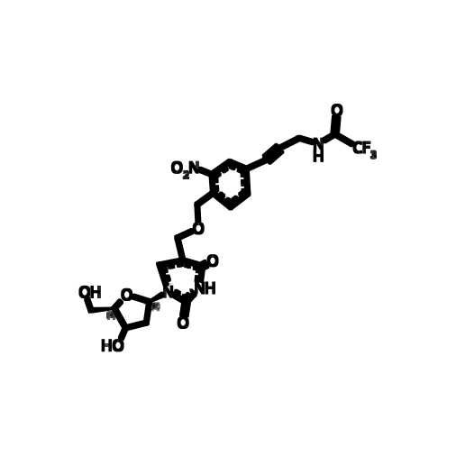 O=C(NCC#Cc1ccc(COCc2cn([C@H]3CC(O)[C@@H](CO)O3)c(=O)[nH]c2=O)c([N+](=O)[O-])c1)C(F)(F)F